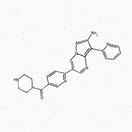 Nc1nn2cc(-c3ccc(C(=O)N4CCNCC4)cn3)cnc2c1-c1ccccn1